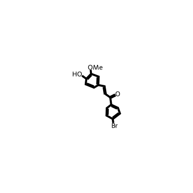 COc1cc(/C=C/C(=O)c2ccc(Br)cc2)ccc1O